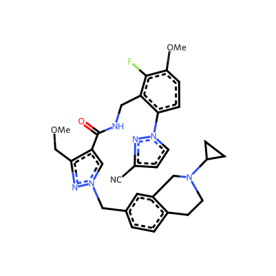 COCc1nn(Cc2ccc3c(c2)CN(C2CC2)CC3)cc1C(=O)NCc1c(-n2ccc(C#N)n2)ccc(OC)c1F